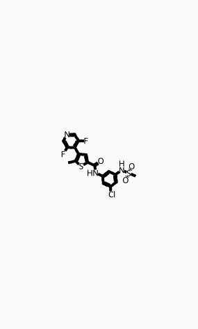 Cc1sc(C(=O)Nc2cc(Cl)cc(NS(C)(=O)=O)c2)cc1-c1c(F)cncc1F